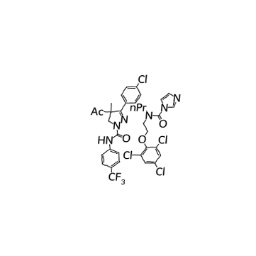 CC(=O)C1(C)CN(C(=O)Nc2ccc(C(F)(F)F)cc2)N=C1c1ccc(Cl)cc1.CCCN(CCOc1c(Cl)cc(Cl)cc1Cl)C(=O)n1ccnc1